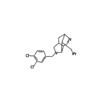 CC(C)CC1C2CC3CN(Cc4ccc(Cl)c(Cl)c4)C1C3C=N2